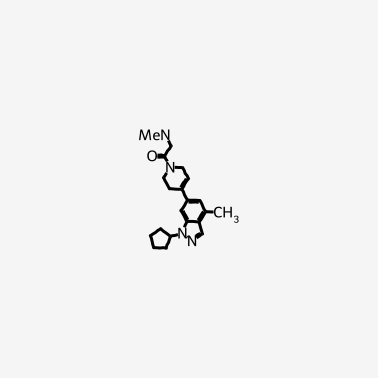 CNCC(=O)N1CC=C(c2cc(C)c3cnn(C4CCCC4)c3c2)CC1